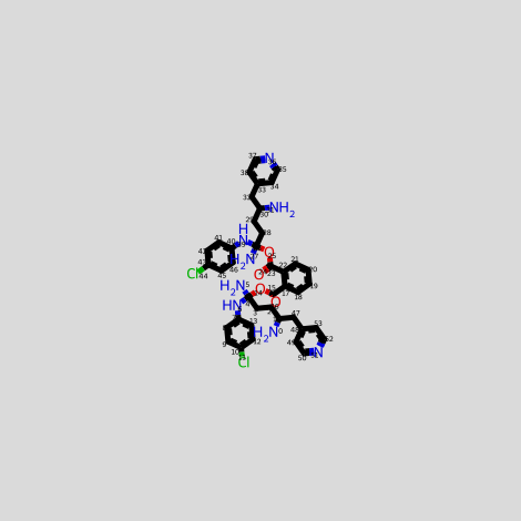 NC(CCC(N)(Nc1ccc(Cl)cc1)OC(=O)c1ccccc1C(=O)OC(N)(CCC(N)Cc1ccncc1)Nc1ccc(Cl)cc1)Cc1ccncc1